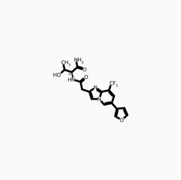 CC(O)[C@H](NC(=O)Cc1cn2cc(-c3ccoc3)cc(C(F)(F)F)c2n1)C(N)=O